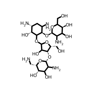 NC[C@@H]1O[C@H](O[C@@H]2C(O)C(OC3[C@H](O[C@H]4OC(CO)[C@@H](O)C(O)C4N)C(N)C[C@@H](N)[C@H]3O)O[C@@H]2CO)C(N)C(O)[C@@H]1O